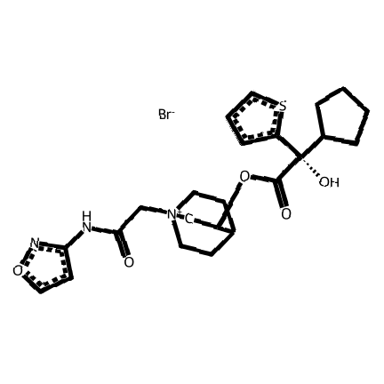 O=C(C[N+]12CCC(CC1)C(OC(=O)[C@@](O)(c1cccs1)C1CCCC1)C2)Nc1ccon1.[Br-]